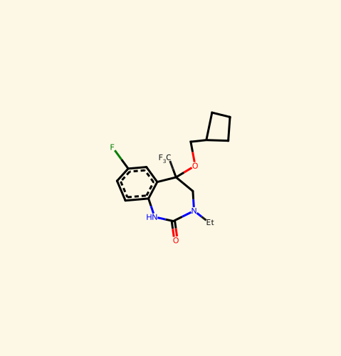 CCN1CC(OCC2CCC2)(C(F)(F)F)c2cc(F)ccc2NC1=O